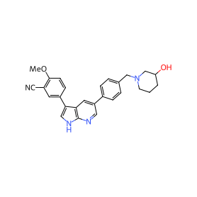 COc1ccc(-c2c[nH]c3ncc(-c4ccc(CN5CCCC(O)C5)cc4)cc23)cc1C#N